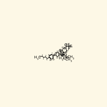 CCCCCc1ccc(N2CCN(S(=O)(=O)C3(C(=O)OC(C)(C)C)CCN(C(=O)C(F)(F)F)CC3)CC2)cc1